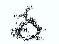 COCCO[C@@H]1CC[C@@H](CC(C)[C@@H]2CC(=O)[C@H](C)/C=C(\C)[C@@H](OC)[C@@H](OC)C(=O)[C@H](C)CC/C=C/C=C/C=C(\C)[C@@H](OC)C[C@@H]3CC[C@@H](C)[C@@](O)(O3)C(=O)C(=O)N3CCCC[C@H]3C(=O)O2)C[C@H]1OC